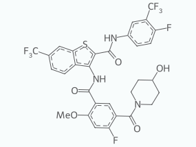 COc1cc(F)c(C(=O)N2CCC(O)CC2)cc1C(=O)Nc1c(C(=O)Nc2ccc(F)c(C(F)(F)F)c2)sc2cc(C(F)(F)F)ccc12